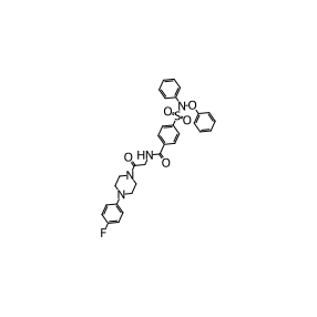 O=C(NCC(=O)N1CCN(c2ccc(F)cc2)CC1)c1ccc(S(=O)(=O)N(Oc2ccccc2)c2ccccc2)cc1